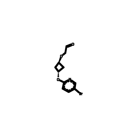 O=CCO[C@H]1C[C@H](Oc2ccc(Br)cn2)C1